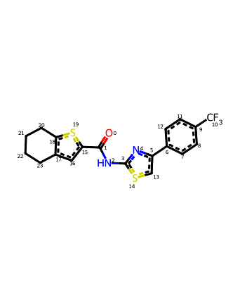 O=C(Nc1nc(-c2ccc(C(F)(F)F)cc2)cs1)c1cc2c(s1)CCCC2